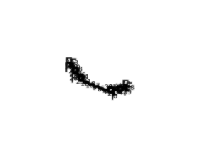 Fc1cc(CCCCCCCCCc2ccc(-c3ccc(C(F)(F)F)cc3)c(F)c2)ccc1-c1ccc(C(F)(F)F)cc1